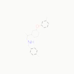 Cc1ccc(CNCC(C)C2CCCC(Oc3cccc(C)c3)C2)cc1